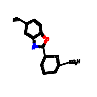 CCCc1ccc2oc(-c3cccc(C(=O)O)c3)nc2c1